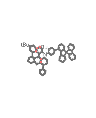 CC(C)(C)c1cc(-c2cccc3cccc(-c4ccccc4N(c4ccc(-c5ccccc5)cc4)c4ccc(-c5cccc6c5-c5ccccc5C6(c5ccccc5)c5ccccc5)cc4)c23)cc(C(C)(C)C)c1